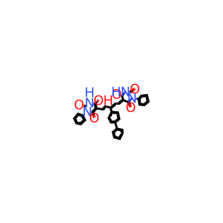 O=C1NC(=O)N(c2ccccc2)C(=O)/C1=C/C=C(C=Cc1c(O)[nH]c(=O)n(-c2ccccc2)c1=O)c1ccc(-c2ccccc2)cc1